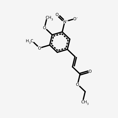 CCOC(=O)/C=C/c1cc(OC)c(OC)c([N+](=O)[O-])c1